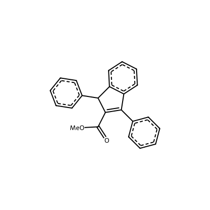 COC(=O)C1=C(c2ccccc2)c2ccccc2C1c1ccccc1